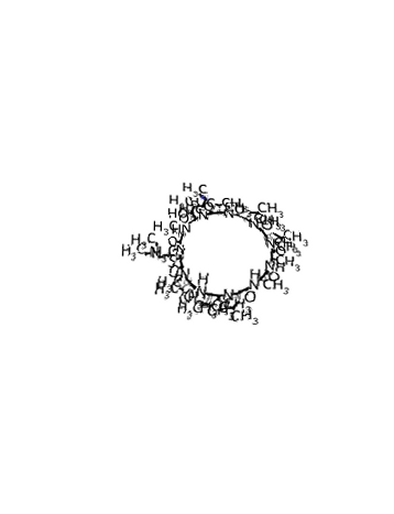 C/C=C/C[C@@H](C)[C@@H](O)[C@H]1C(=O)N[C@@H](CC)C(=O)N(C)[C@H](SCCN(CC)CC)C(=O)N(C)[C@@H](C(C)C)C(=O)N[C@@H](C(C)C)C(=O)N(C)[C@@H](CC(C)C)C(=O)N[C@@H](C)C(=O)N[C@H](C)C(=O)N(C)[C@@H](CC(C)C)C(=O)N(C)[C@@H](CC(C)C)C(=O)N(C)[C@@H](C(C)C)C(=O)N1C